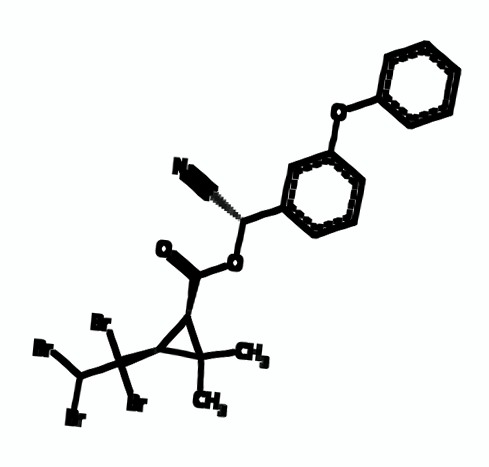 CC1(C)[C@H](C(=O)O[C@H](C#N)c2cccc(Oc3ccccc3)c2)[C@@H]1C(Br)(Br)C(Br)Br